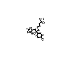 O=C(O)CCSCC(O)(Cn1cncn1)c1ccc(Cl)cc1